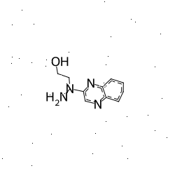 NN(CCO)c1cnc2ccccc2n1